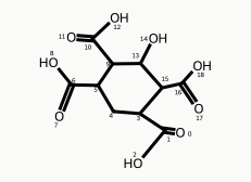 O=C(O)C1CC(C(=O)O)C(C(=O)O)C(O)C1C(=O)O